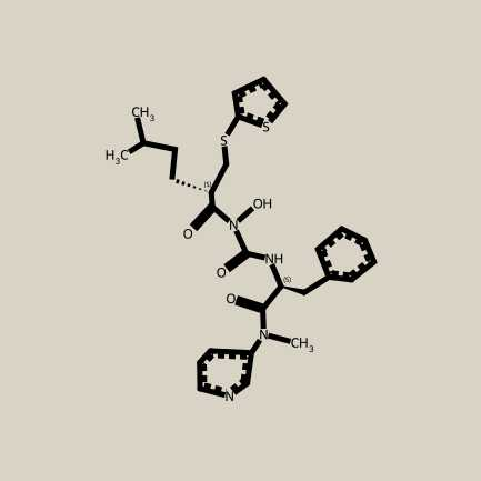 CC(C)CC[C@H](CSc1cccs1)C(=O)N(O)C(=O)N[C@@H](Cc1ccccc1)C(=O)N(C)c1cccnc1